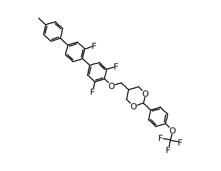 Cc1ccc(-c2ccc(-c3cc(F)c(OCC4COC(c5ccc(OC(F)(F)F)cc5)OC4)c(F)c3)c(F)c2)cc1